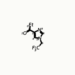 CCC(=O)c1cn(CC(F)(F)F)cn1